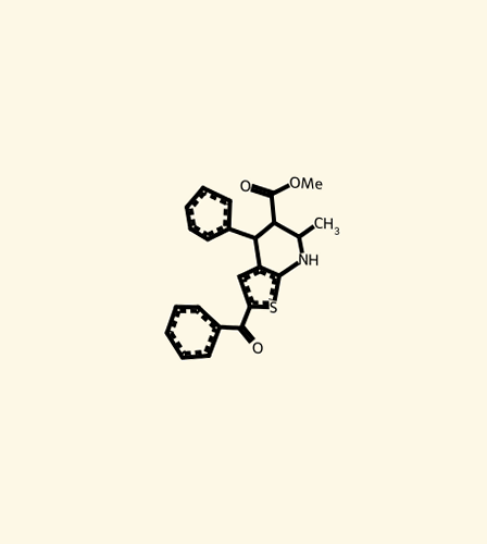 COC(=O)C1C(C)Nc2sc(C(=O)c3ccccc3)cc2C1c1ccccc1